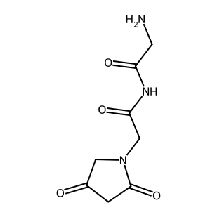 NCC(=O)NC(=O)CN1CC(=O)CC1=O